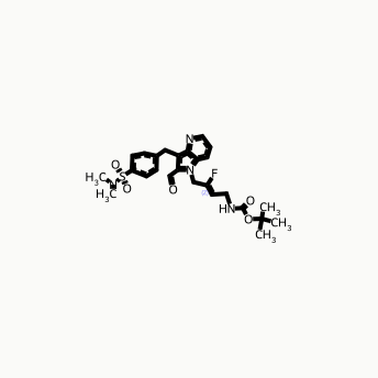 CN(C)S(=O)(=O)c1ccc(Cc2c(C=O)n(C/C(F)=C/CNC(=O)OC(C)(C)C)c3cccnc23)cc1